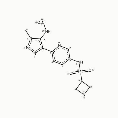 Cn1nnc(-c2ccc(NS(=O)(=O)C3CNC3)cn2)c1NC(=O)O